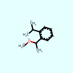 CC(C)c1ccccc1C(C)O[SiH3]